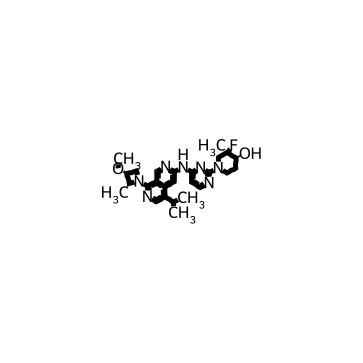 CO[C@H]1CN(c2ncc(C(C)C)c3cc(Nc4ccnc(N5CC[C@@H](O)[C@@](C)(F)C5)n4)ncc23)[C@@H]1C